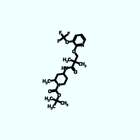 CC1CC(NC(=O)C(C)(C)COc2ncccc2OC(F)(F)F)CCN1C(=O)OC(C)(C)C